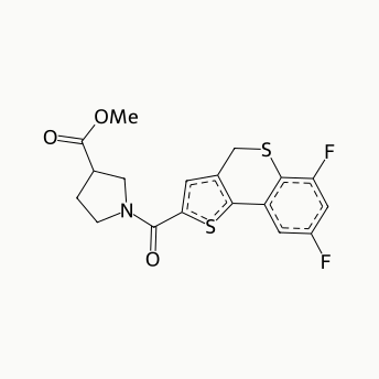 COC(=O)C1CCN(C(=O)c2cc3c(s2)-c2cc(F)cc(F)c2SC3)C1